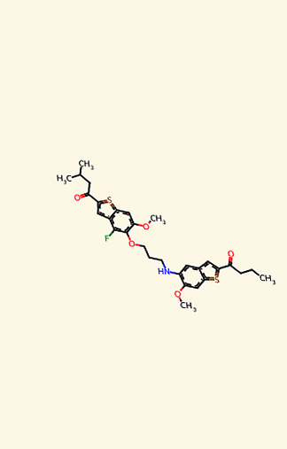 CCCC(=O)c1cc2cc(NCCCOc3c(OC)cc4sc(C(=O)CC(C)C)cc4c3F)c(OC)cc2s1